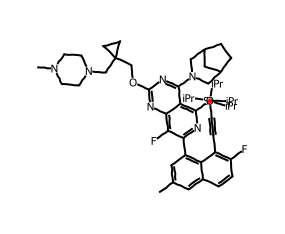 Cc1cc(-c2nc(OC(C)C)c3c(N4CC5CCC(C5)C4)nc(OCC4(CN5CCN(C)CC5)CC4)nc3c2F)c2c(C#C[Si](C(C)C)(C(C)C)C(C)C)c(F)ccc2c1